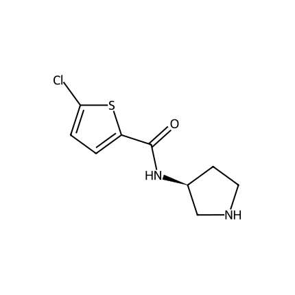 O=C(N[C@H]1CCNC1)c1ccc(Cl)s1